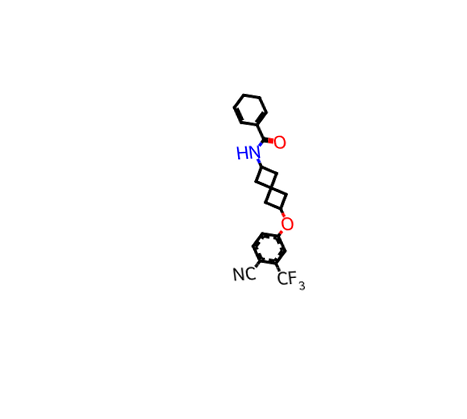 N#Cc1ccc(OC2CC3(CC(NC(=O)C4=CCCC=C4)C3)C2)cc1C(F)(F)F